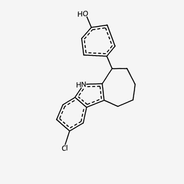 Oc1ccc(C2CCCCc3c2[nH]c2ccc(Cl)cc32)cc1